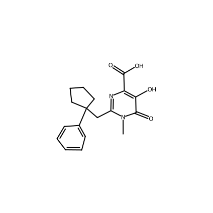 Cn1c(CC2(c3ccccc3)CCCC2)nc(C(=O)O)c(O)c1=O